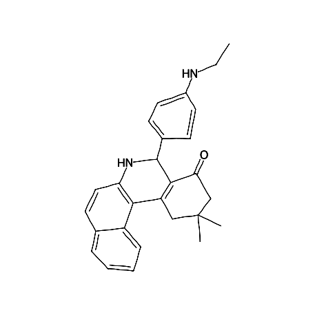 CCNc1ccc(C2Nc3ccc4ccccc4c3C3=C2C(=O)CC(C)(C)C3)cc1